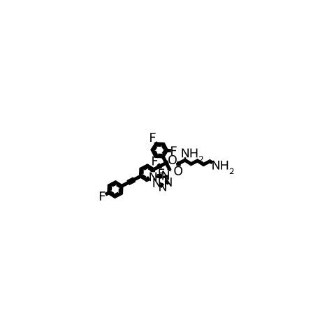 NCCCC[C@H](N)C(=O)OC(Cn1cnnn1)(c1ccc(F)cc1F)C(F)(F)c1ccc(C#Cc2ccc(F)cc2)cn1